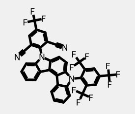 N#Cc1cc(C(F)(F)F)cc(C#N)c1-n1c2ccccc2c2c3c4ccccc4n(-c4c(C(F)(F)F)cc(C(F)(F)F)cc4C(F)(F)F)c3ccc21